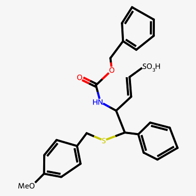 COc1ccc(CSC(c2ccccc2)C(C=CS(=O)(=O)O)NC(=O)OCc2ccccc2)cc1